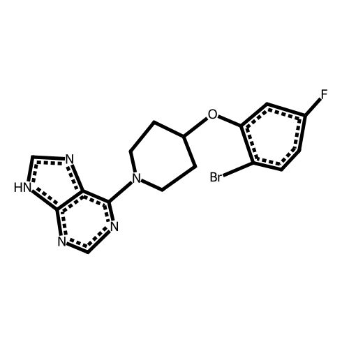 Fc1ccc(Br)c(OC2CCN(c3ncnc4[nH]cnc34)CC2)c1